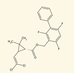 CC1(C)C(C=C(Cl)Cl)[C@H]1C(=O)OCc1c(F)cc(F)c(-c2ccccc2)c1F